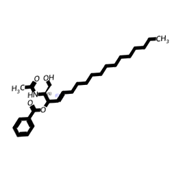 CCCCCCCCCCCCC/C=C/C(OC(=O)c1ccccc1)[C@H](CO)NC(C)=O